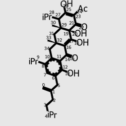 C=C(CCC(C)C)Cc1cc(C(C)C)c2c(c1O)C(=O)C1=C(O)[C@@]3(O)C(=O)C(C(C)=O)=C(O)C(C(C)C)[C@@]3(C)C[C@@]1(C)C2